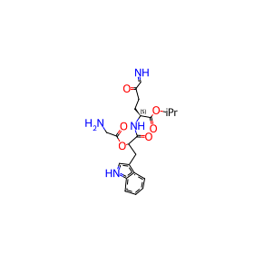 CC(C)OC(=O)[C@H](CCC(=O)C=N)NC(=O)C(Cc1c[nH]c2ccccc12)OC(=O)CN